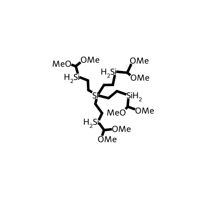 COC(OC)[SiH2]CC[Si](CC[SiH2]C(OC)OC)(CC[SiH2]C(OC)OC)CC[SiH2]C(OC)OC